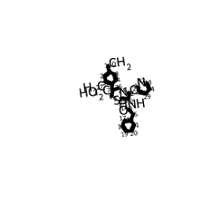 C=Cc1ccc(C2(C(=O)O)CS[C@@H]3C(NC(=O)Cc4ccccc4)C(=O)N3C2)c(C)c1.c1ccncc1